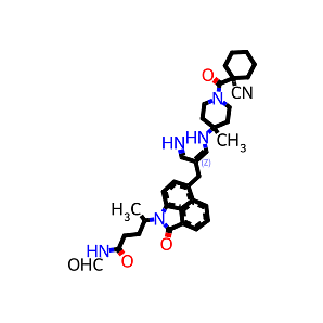 CC(CCC(=O)NC=O)N1C(=O)c2cccc3c(C/C(C=N)=C/NC4(C)CCN(C(=O)C5(C#N)CCCCC5)CC4)ccc1c23